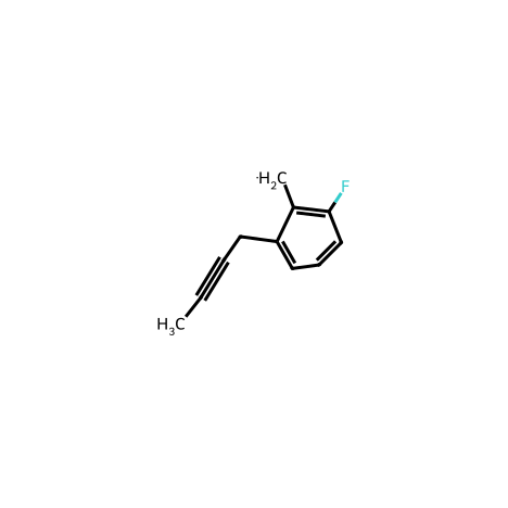 [CH2]c1c(F)cccc1CC#CC